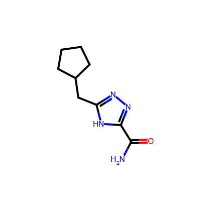 NC(=O)c1nnc(CC2CCCC2)[nH]1